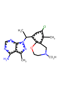 Cc1c(Cl)cc(C(C)n2nc(C)c3c(N)ncnc32)c2c1CN(C(=O)O)CCO2